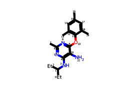 CCC(CC)Nc1nc(C)nc(Oc2c(C)cc(C)cc2C)c1N